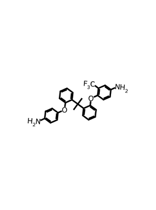 CC(C)(c1ccccc1Oc1ccc(N)cc1)c1ccccc1Oc1ccc(N)cc1C(F)(F)F